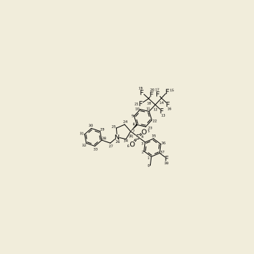 Cc1cc(S(=O)(=O)[C@@]2(c3ccc(C(F)(C(F)(F)F)C(F)(F)F)cc3)CCN(Cc3ccccc3)C2)ccc1F